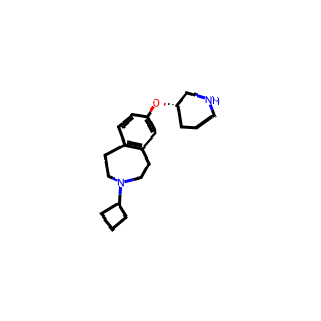 c1cc2c(cc1O[C@H]1CCCNC1)CCN(C1CCC1)CC2